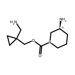 NCC1(COC(=O)N2CCC[C@H](N)C2)CC1